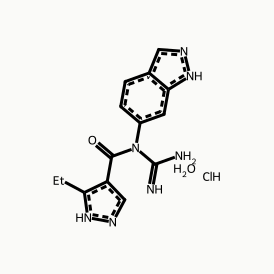 CCc1[nH]ncc1C(=O)N(C(=N)N)c1ccc2cn[nH]c2c1.Cl.O